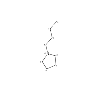 CCC[CH]N1CCCC1